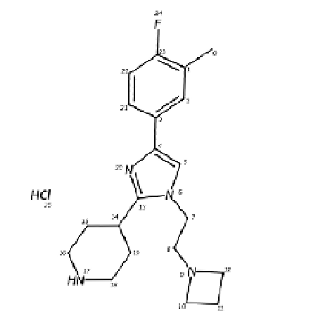 Cc1cc(-c2cn(CCN3CCC3)c(C3CCNCC3)n2)ccc1F.Cl